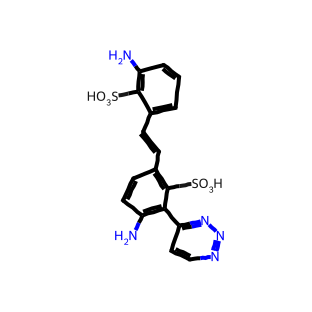 Nc1ccc(/C=C/c2cccc(N)c2S(=O)(=O)O)c(S(=O)(=O)O)c1-c1ccnnn1